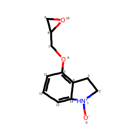 [O-][NH+]1CCc2c(OCC3CO3)cccc21